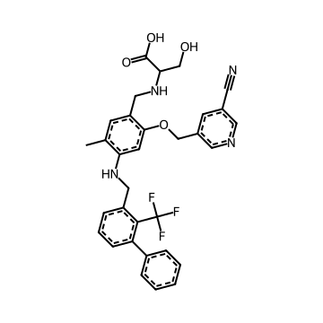 Cc1cc(CNC(CO)C(=O)O)c(OCc2cncc(C#N)c2)cc1NCc1cccc(-c2ccccc2)c1C(F)(F)F